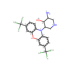 NC1CNCC(N2c3ccc(C(F)(F)F)cc3Oc3cc(C(F)(F)F)ccc32)C1O